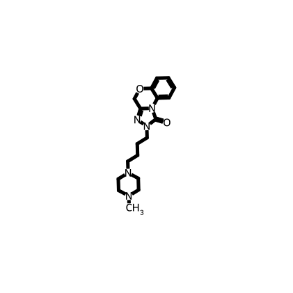 CN1CCN(CCCCn2nc3n(c2=O)-c2ccccc2OC3)CC1